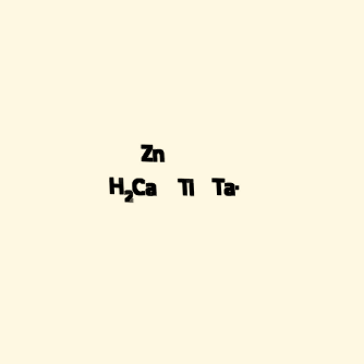 [CaH2].[Ta].[Ti].[Zn]